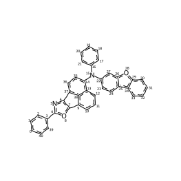 c1ccc(-c2nc3c(o2)-c2cccc4c(N(c5ccccc5)c5ccc6c(c5)oc5ccccc56)ccc-3c24)cc1